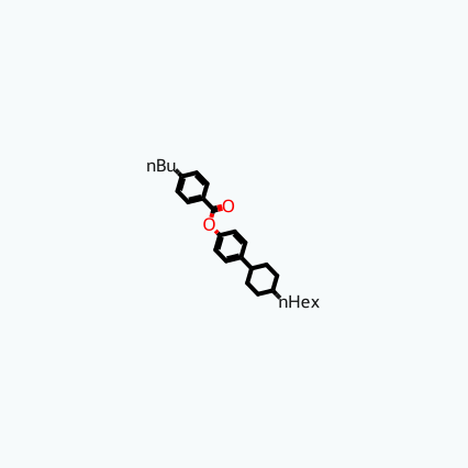 CCCCCCC1CCC(c2ccc(OC(=O)c3ccc(CCCC)cc3)cc2)CC1